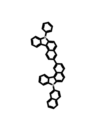 c1ccc(-n2c3ccccc3c3c4ccc(-c5ccc6ccc7c(c6c5)c5ccccc5n7-c5ccc6ccccc6c5)cc4ccc32)cc1